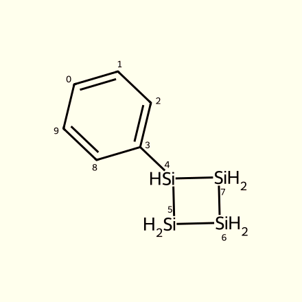 c1ccc([SiH]2[SiH2][SiH2][SiH2]2)cc1